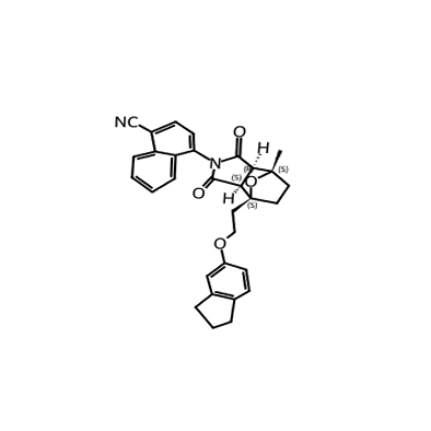 C[C@@]12CC[C@@](CCOc3ccc4c(c3)CCC4)(O1)[C@H]1C(=O)N(c3ccc(C#N)c4ccccc34)C(=O)[C@H]12